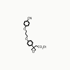 CCOC(=O)CC1(c2ccc(OCCCOc3ccc(C#N)cc3)cc2)COC1